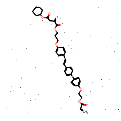 C=CC(=O)OCCOc1ccc(-c2ccc(/C=C/c3ccc(OCCCOC(=O)C(=C)CC(=O)OC4CCCCC4)cc3)cc2)cc1